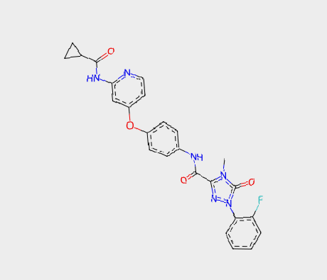 Cn1c(C(=O)Nc2ccc(Oc3ccnc(NC(=O)C4CC4)c3)cc2)nn(-c2ccccc2F)c1=O